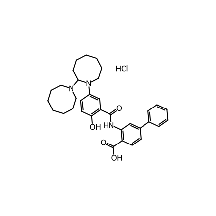 Cl.O=C(Nc1cc(-c2ccccc2)ccc1C(=O)O)c1cc(N2CCCCCCC2N2CCCCCCC2)ccc1O